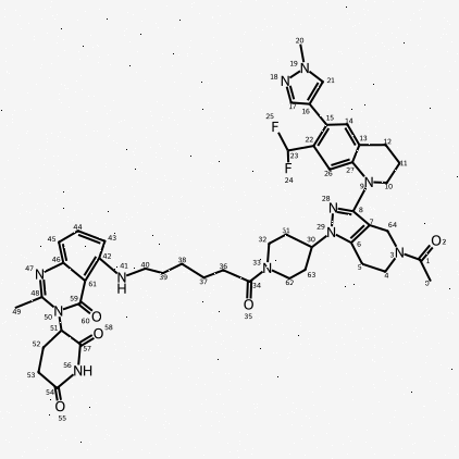 CC(=O)N1CCc2c(c(N3CCCc4cc(-c5cnn(C)c5)c(C(F)F)cc43)nn2C2CCN(C(=O)CCCCCNc3cccc4nc(C)n(C5CCC(=O)NC5=O)c(=O)c34)CC2)C1